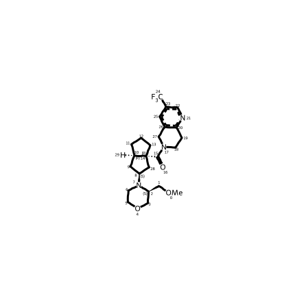 COC[C@H]1COCCN1[C@H]1C[C@H]2CCC[C@@]2(C(=O)N2CCc3ncc(C(F)(F)F)cc3C2)C1